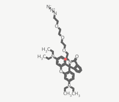 CCN(CC)c1ccc2c(c1)Oc1cc(N(CC)CC)ccc1C21c2ccccc2C(=O)N1CCOCCOCCOCCN=[N+]=[N-]